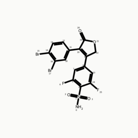 NS(=O)(=O)c1c(F)cc(C2=C(c3ccc(Br)c(Br)c3)C(=O)OC2)cc1F